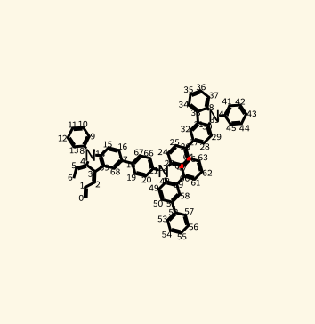 C=C/C=c1\c(=C/C)n(-c2ccccc2)c2ccc(-c3ccc(N(c4ccc(-c5ccc6c(c5)c5ccccc5n6-c5ccccc5)cc4)c4ccc(-c5ccccc5)cc4-c4ccccc4)cc3)cc12